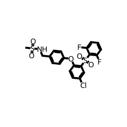 CS(=O)(=O)NCc1ccc(Oc2ccc(Cl)cc2S(=O)(=O)c2c(F)cccc2F)cc1